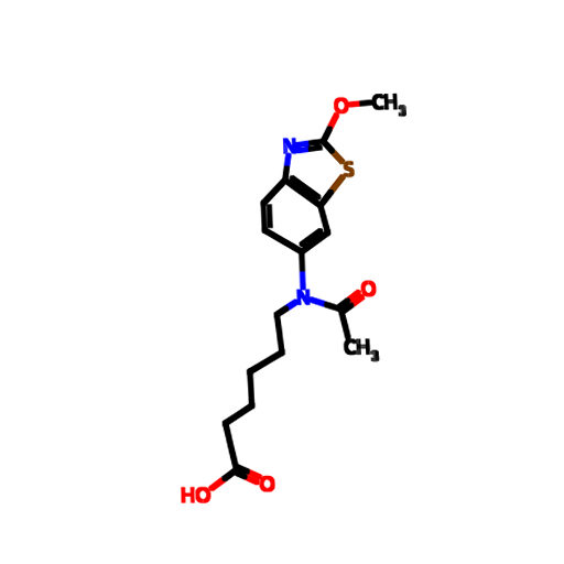 COc1nc2ccc(N(CCCCCC(=O)O)C(C)=O)cc2s1